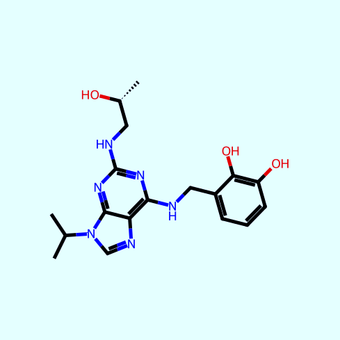 CC(C)n1cnc2c(NCc3cccc(O)c3O)nc(NC[C@@H](C)O)nc21